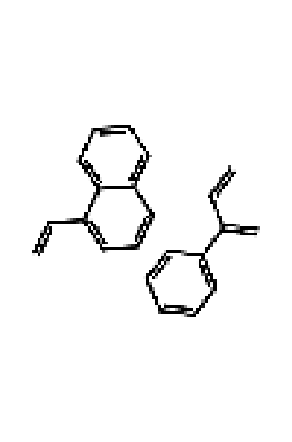 C=CC(=C)c1ccccc1.C=Cc1cccc2ccccc12